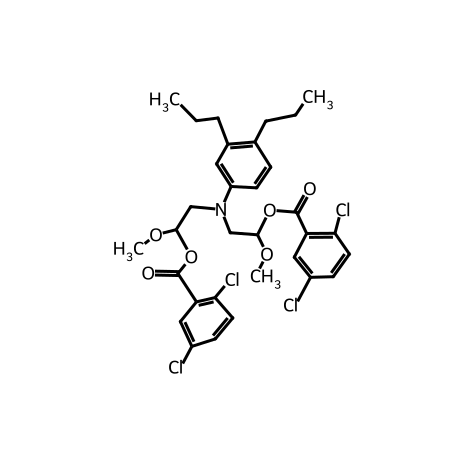 CCCc1ccc(N(CC(OC)OC(=O)c2cc(Cl)ccc2Cl)CC(OC)OC(=O)c2cc(Cl)ccc2Cl)cc1CCC